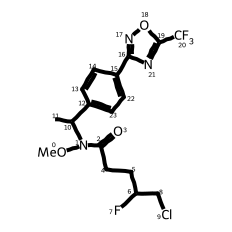 CON(C(=O)CCC(F)CCl)C(C)c1ccc(-c2noc(C(F)(F)F)n2)cc1